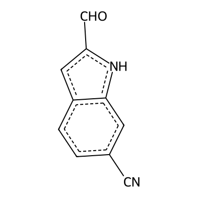 N#Cc1ccc2cc(C=O)[nH]c2c1